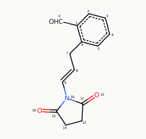 O=Cc1ccccc1CC=CN1C(=O)CCC1=O